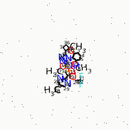 COc1cccc(OC)c1-n1c(NS(=O)(=O)[C@@H](C)[C@H](OCC(F)F)c2ncc(C)cn2)nnc1C1CCC1